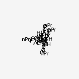 CCCOCCOCCOCCNC(=O)CN(CC(=O)NCCOCCOCCOCCC)C(=O)CN(CC(=O)N(CC(=O)NCCOCCOCCOCCC)CC(=O)NCCOCCOCCOCCC)C(=O)COCC(CC(F)(F)F)(CC(F)(F)F)CC(F)(F)F